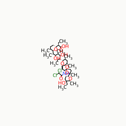 CCC(C(O)[C@@H](C)[C@@H](O)[C@H](C)[C@@H]1O[C@@H]([C@@H](CC)C(=O)O)CC[C@@H]1C)[C@H]1O[C@]2(C=C[C@@H](NC(=O)C(Cl)Cl)[C@]3(CC[C@@](C)([C@H]4CC[C@](O)(CC)[C@H](C)O4)O3)O2)[C@H](C)C[C@@H]1C